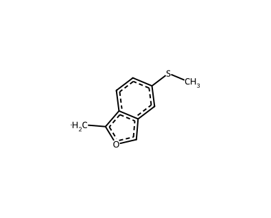 [CH2]c1occ2cc(SC)ccc12